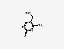 Nc1nc(=O)[nH]cc1C[C]=O